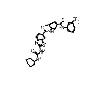 Cc1ccc(C(=O)Nc2cccc(C(F)(F)F)c2)cc1NC(=O)c1ccc2nc(NC(=O)NC3CCCCC3)sc2c1